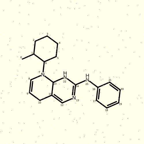 CC1CCCCC1N1C=CCC2=CN=C(Nc3ccccc3)NC21